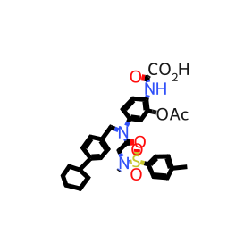 CC(=O)Oc1cc(N(Cc2ccc(C3CCCCC3)cc2)C(=O)CN(C)S(=O)(=O)c2ccc(C)cc2)ccc1NC(=O)C(=O)O